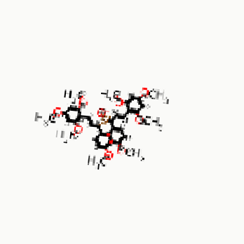 COc1ccc(C(C=Cc2c(OC)cc(OC)cc2OC)[S+]([O-])C(C=Cc2c(OC)cc(OC)cc2OC)c2ccc(OC)cc2)cc1